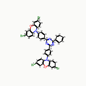 Brc1ccc2c(c1)Oc1cc(Br)ccc1N2c1ccc(-c2nc(-c3ccccc3)nc(-c3ccc(N4c5ccc(Br)cc5Oc5cc(Br)ccc54)cc3)n2)cc1